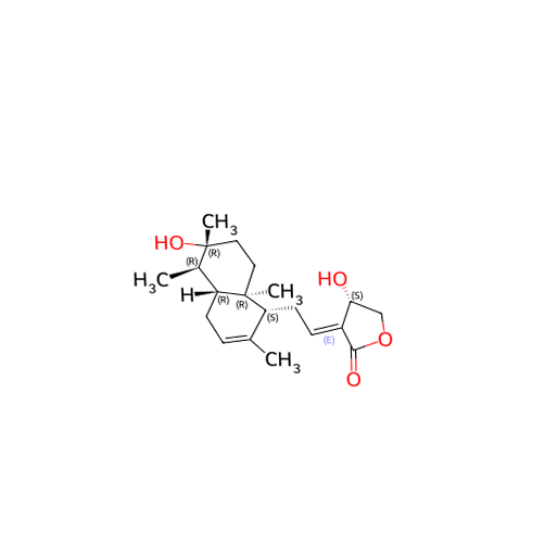 CC1=CC[C@@H]2[C@@H](C)[C@](C)(O)CC[C@@]2(C)[C@@H]1C/C=C1/C(=O)OC[C@H]1O